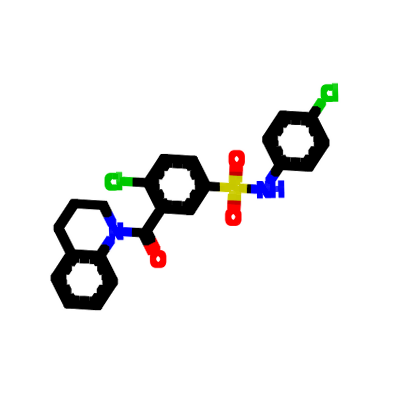 O=C(c1cc(S(=O)(=O)Nc2ccc(Cl)cc2)ccc1Cl)N1CCCc2ccccc21